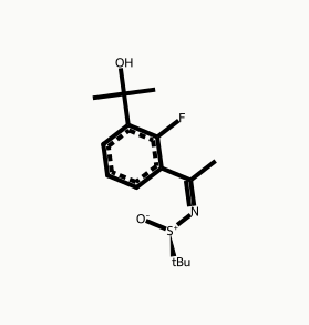 C/C(=N/[S@+]([O-])C(C)(C)C)c1cccc(C(C)(C)O)c1F